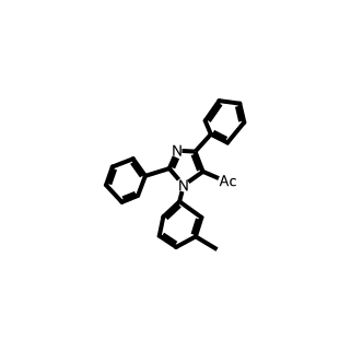 CC(=O)c1c(-c2ccccc2)nc(-c2ccccc2)n1-c1cccc(C)c1